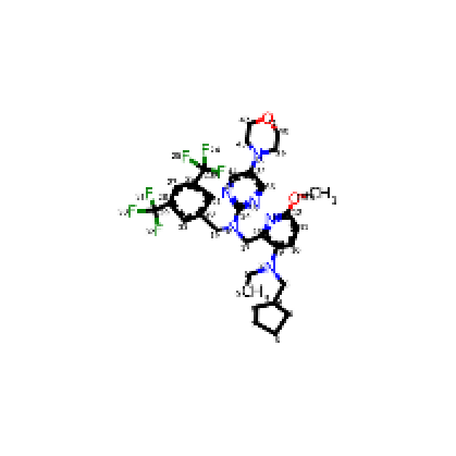 CCN(CC1CCCC1)c1ccc(OC)nc1CN(Cc1cc(C(F)(F)F)cc(C(F)(F)F)c1)c1ncc(N2CCOCC2)cn1